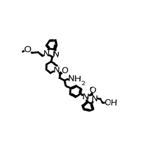 COCCCn1c(C2CCCN(C(=O)CC(N)Cc3ccc(-n4c(=O)n(CCO)c5ccccc54)cc3)C2)nc2ccccc21